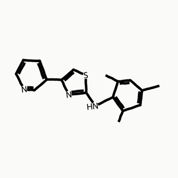 Cc1cc(C)c(Nc2nc(-c3cccnc3)cs2)c(C)c1